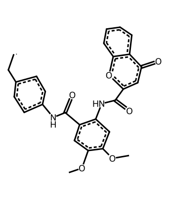 [CH2]Cc1ccc(NC(=O)c2cc(OC)c(OC)cc2NC(=O)c2cc(=O)c3ccccc3o2)cc1